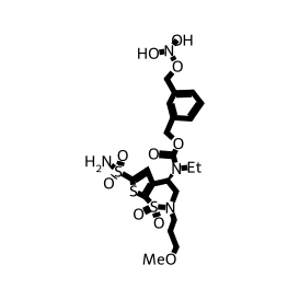 CCN(C(=O)OCc1cccc(CON(O)O)c1)[C@H]1CN(CCCOC)S(=O)(=O)c2sc(S(N)(=O)=O)cc21